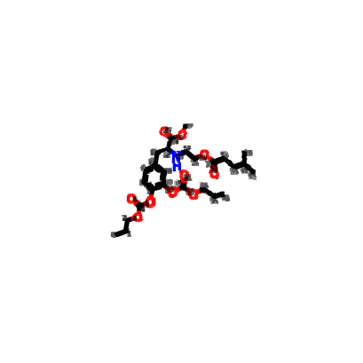 CCCOC(=O)Oc1ccc(C[C@H](NCCOC(=O)CCC(C)C)C(=O)OC)cc1OC(=O)OCCC